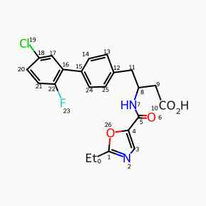 CCc1ncc(C(=O)NC(CC(=O)O)Cc2ccc(-c3cc(Cl)ccc3F)cc2)o1